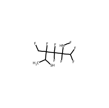 CC(S)C(F)(CF)C(F)(F)C(F)(NF)C(F)F